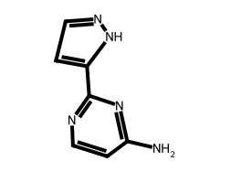 Nc1ccnc(-c2ccn[nH]2)n1